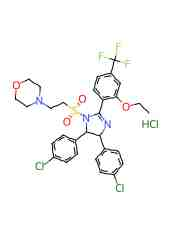 CCOc1cc(C(F)(F)F)ccc1C1=NC(c2ccc(Cl)cc2)C(c2ccc(Cl)cc2)N1S(=O)(=O)CCN1CCOCC1.Cl